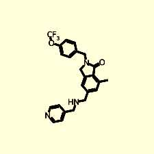 Cc1cc(CNCc2ccncc2)cc2c1C(=O)N(Cc1ccc(OC(F)(F)F)cc1)C2